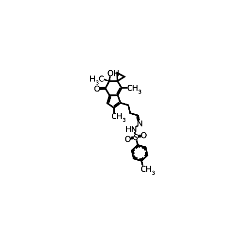 CC1=C(CC/C=N\NS(=O)(=O)c2ccc(C)cc2)C2=C(C)C3(CC3)[C@@](C)(O)C(=O)C2=C1